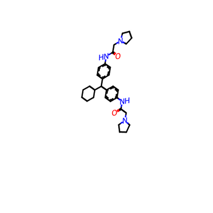 O=C(CN1CCCC1)Nc1ccc(C(c2ccc(NC(=O)CN3CCCC3)cc2)C2CCCCC2)cc1